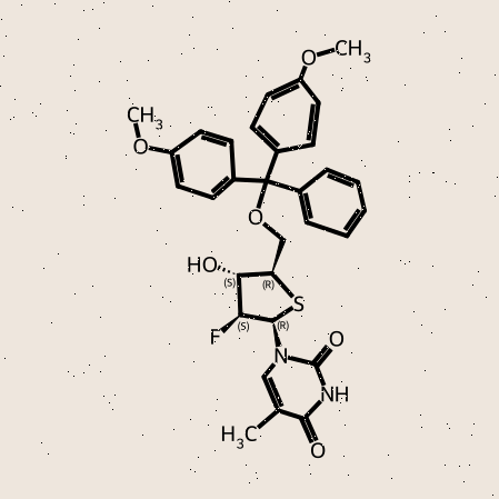 COc1ccc(C(OC[C@H]2S[C@@H](n3cc(C)c(=O)[nH]c3=O)[C@@H](F)[C@@H]2O)(c2ccccc2)c2ccc(OC)cc2)cc1